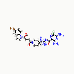 Nc1nc(N)c(C(=O)/N=C2\NCC3(CCN(C(=O)CCC(=O)N4CCc5cc(S)ccc54)CC3)N2)nc1Cl